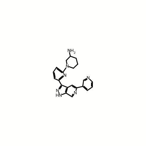 NC1CCCN(c2cccc(-c3n[nH]c4cnc(-c5cccnc5)cc34)n2)C1